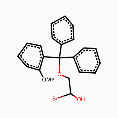 COc1ccccc1C(OCC(O)Br)(c1ccccc1)c1ccccc1